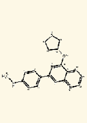 CNc1ccc(-c2cc3nccnc3c(O[C@@H]3CCOC3)n2)cc1